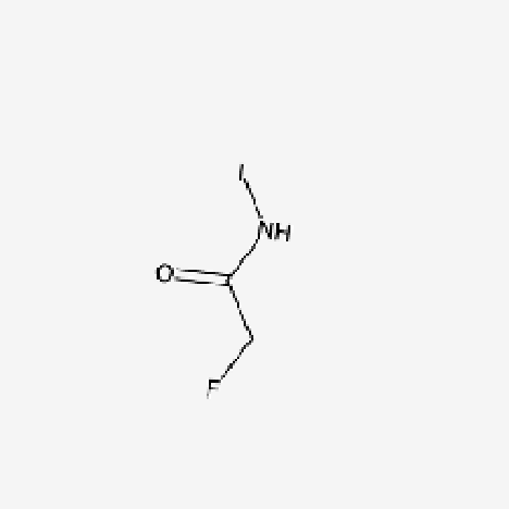 O=C(CF)NI